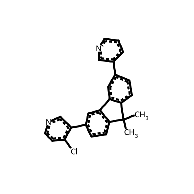 CC1(C)c2ccc(-c3cccnc3)cc2-c2cc(-c3cnccc3Cl)ccc21